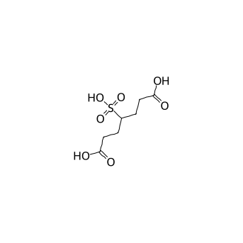 O=C(O)CCC(CCC(=O)O)S(=O)(=O)O